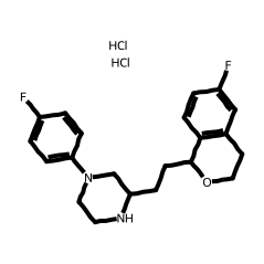 Cl.Cl.Fc1ccc(N2CCNC(CCC3OCCc4cc(F)ccc43)C2)cc1